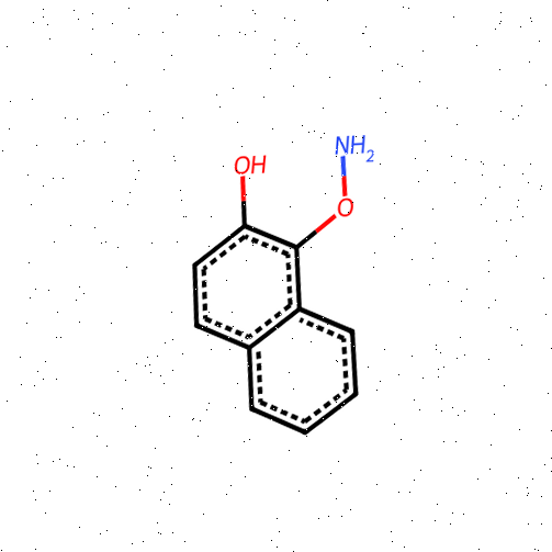 NOc1c(O)ccc2ccccc12